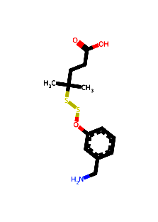 CC(C)(CCC(=O)O)SSOc1cccc(CN)c1